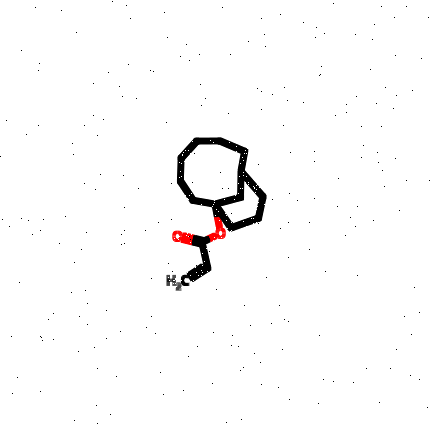 C=CC(=O)OC12CCCCCCC(CCC1)C2